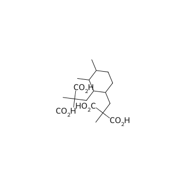 CC1CCC(CC(C)(C(=O)O)C(=O)O)C(CC(C)(C(=O)O)C(=O)O)C1C